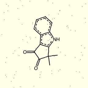 CC1(C)C(=O)C(=O)c2c1[nH]c1ccccc21